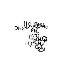 CCC[C@H](C)[C@@H]([C@@H](CCC(=O)N1CCC[C@H]1[C@H](OC)[C@@H](C)C(=O)N[C@@H](Cc1ccccc1)c1nccs1)OC)N(C)C(=O)CNC=O